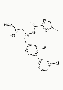 Cc1cnc(C(=O)N[C@H](Cc2ccc(-c3cccc(Cl)c3)c(F)c2)C[C@@H](O)C(=O)O)o1